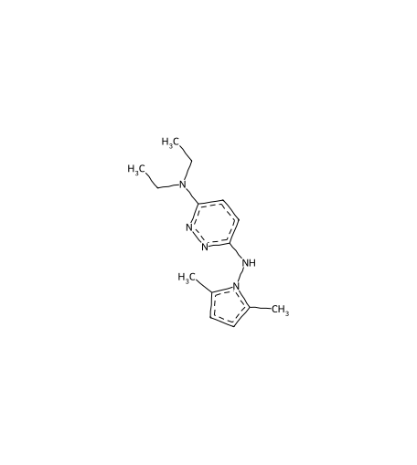 CCN(CC)c1ccc(Nn2c(C)ccc2C)nn1